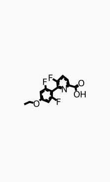 CCOc1cc(F)c(-c2nc(C(=O)O)ccc2F)c(F)c1